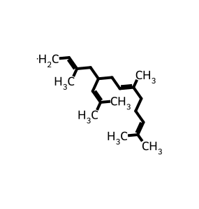 [CH2]/C=C(\C)CC(C=C(C)C)C/C=C(\C)CCC=C(C)C